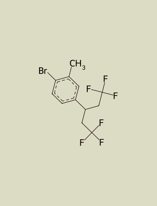 Cc1cc(C(CC(F)(F)F)CC(F)(F)F)ccc1Br